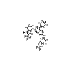 FC(F)(F)CN1CCN(Cc2cc3nc(-c4cccc5[nH]c(C(F)(F)F)cc45)nc(N4CCOCC4)c3s2)CC1